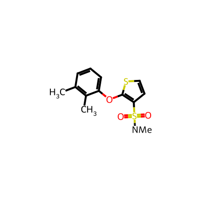 CNS(=O)(=O)c1ccsc1Oc1cccc(C)c1C